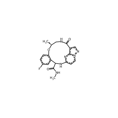 CNC(=O)C1Nc2ccn3ncc(c3n2)C(=O)NC[C@H](C)Oc2ccc(F)cc21